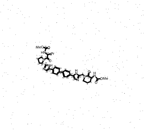 COC(=O)NC1CCCN(Cc2ncc(-c3ccc(-c4ccc(-c5cnc([C@@H]6CCCN6C(=O)C(NC(=O)OC)C(C)C)[nH]5)cc4)cc3)[nH]2)C1=O